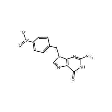 Nc1nc2c(ncn2Cc2ccc([N+](=O)[O-])cc2)c(=O)[nH]1